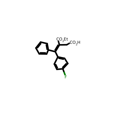 CCOC(=O)/C(CC(=O)O)=C(\c1ccccc1)c1ccc(F)cc1